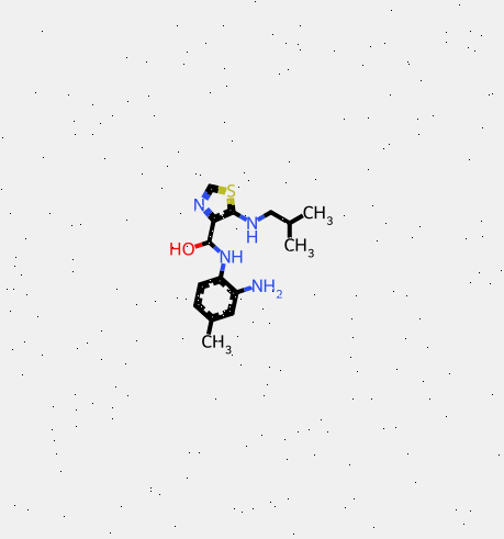 Cc1ccc(NC(O)c2ncsc2NCC(C)C)c(N)c1